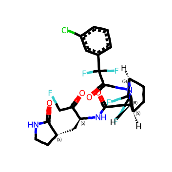 O=C1NCC[C@H]1C[C@H](NC(=O)[C@H]1[C@@H]2CC[C@@H](CC2(F)F)N1C(=O)C(F)(F)c1cccc(Cl)c1)C(=O)CF